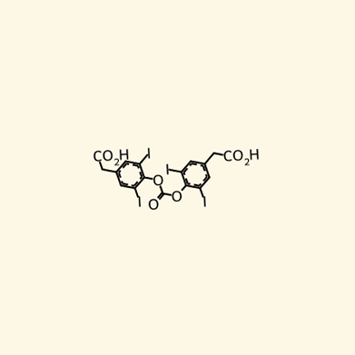 O=C(O)Cc1cc(I)c(OC(=O)Oc2c(I)cc(CC(=O)O)cc2I)c(I)c1